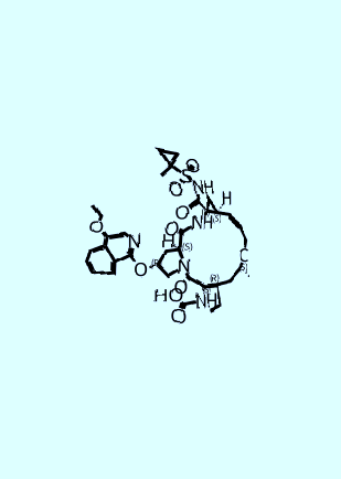 CCOc1cnc(O[C@@H]2C[C@H]3C(=O)N[C@]4(C(=O)NS(=O)(=O)C5(C)CC5)C[C@H]4C=CCC[C@H](C)C[C@@H](CC)[C@H](NC(=O)O)C(=O)N3C2)c2ccccc12